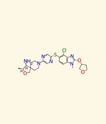 C[C@@H]1OCC2(CCN(c3cnc(Sc4ccc5c(nc(OC6CCOC6)n5C)c4Cl)cn3)CC2)[C@@H]1N